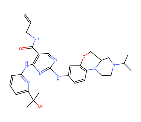 C=CCNC(=O)c1cnc(Nc2ccc3c(c2)OCC2CN(C(C)C)CCN32)nc1Nc1cccc(C(C)(C)O)n1